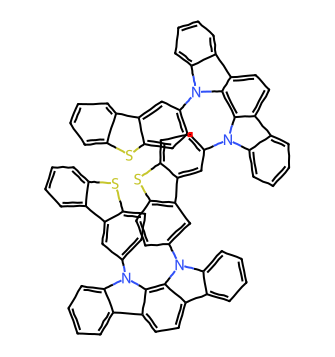 c1ccc2c(c1)sc1ccc(-n3c4ccccc4c4ccc5c6ccccc6n(-c6ccc7sc8ccc(-n9c%10ccccc%10c%10ccc%11c%12ccccc%12n(-c%12ccc%13sc%14ccccc%14c%13c%12)c%11c%109)cc8c7c6)c5c43)cc12